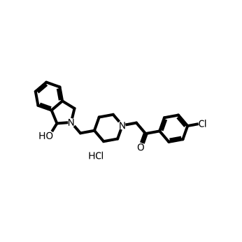 Cl.O=C(CN1CCC(CN2Cc3ccccc3C2O)CC1)c1ccc(Cl)cc1